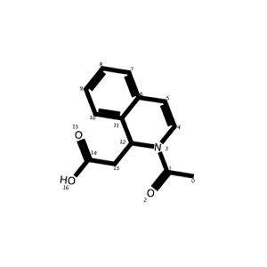 CC(=O)N1C=Cc2ccccc2C1CC(=O)O